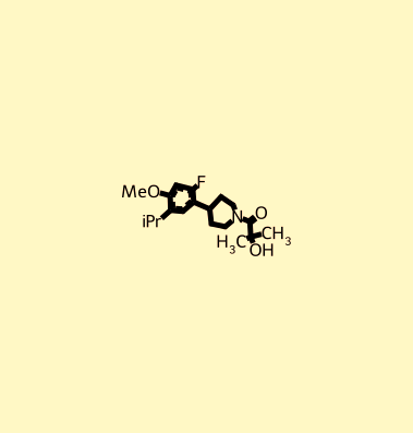 COc1cc(F)c(C2CCN(C(=O)C(C)(C)O)CC2)cc1C(C)C